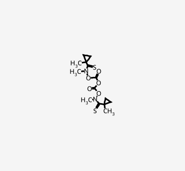 CN(OC(=O)OC(=O)ON(C)C(=S)C1(C)CC1)C(=S)C1(C)CC1